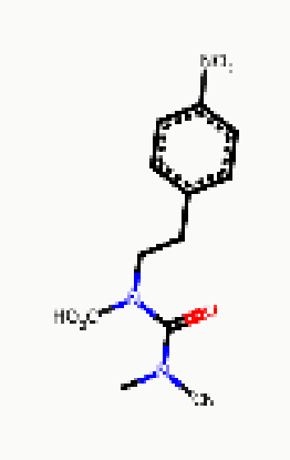 CN(C#N)C(=O)N(CCc1ccc([N+](=O)[O-])cc1)C(=O)O